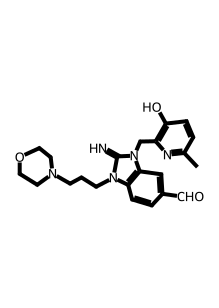 Cc1ccc(O)c(Cn2c(=N)n(CCCN3CCOCC3)c3ccc(C=O)cc32)n1